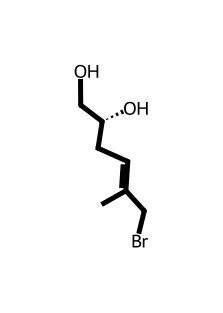 C/C(=C\C[C@@H](O)CO)CBr